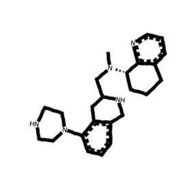 CN(CC1Cc2c(cccc2N2CCNCC2)CN1)[C@H]1CCCc2cccnc21